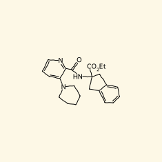 CCOC(=O)C1(NC(=O)c2ncccc2N2CCCCC2)Cc2ccccc2C1